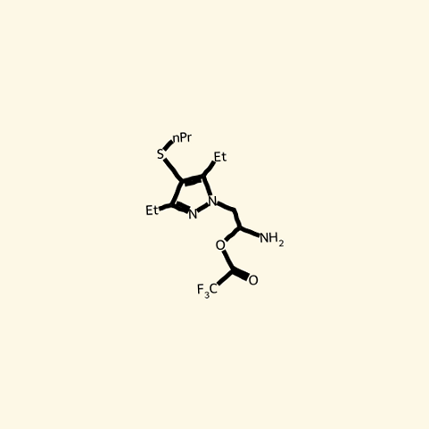 CCCSc1c(CC)nn(CC(N)OC(=O)C(F)(F)F)c1CC